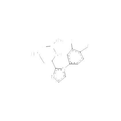 CC(C)(C)[S+]([O-])N[C@@H](CN)c1nccn1-c1ccc(F)c(Cl)c1